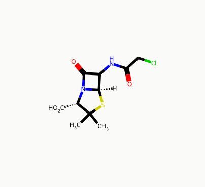 CC1(C)S[C@@H]2C(NC(=O)CCl)C(=O)N2[C@H]1C(=O)O